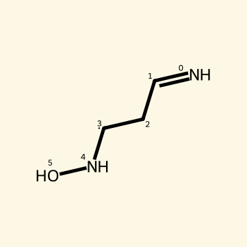 N=CC[CH]NO